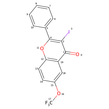 O=c1c(I)c(-c2ccccc2)oc2ccc(OC(F)(F)F)cc12